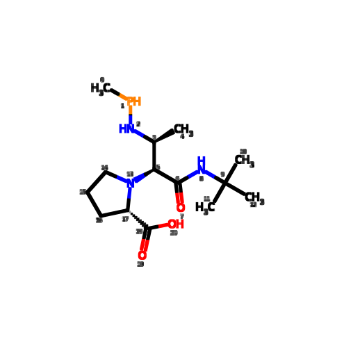 CPN[C@@H](C)[C@@H](C(=O)NC(C)(C)C)N1CCC[C@H]1C(=O)O